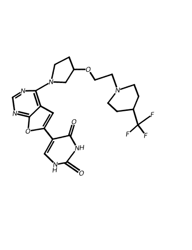 O=c1[nH]cc(-c2cc3c(N4CCC(OCCN5CCC(C(F)(F)F)CC5)C4)ncnc3o2)c(=O)[nH]1